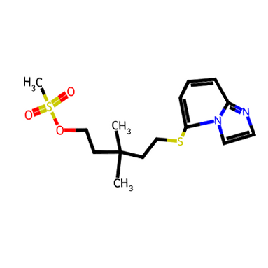 CC(C)(CCOS(C)(=O)=O)CCSc1cccc2nccn12